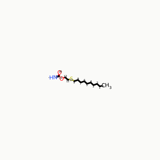 CCCCCCCCCCSCCOC([NH])=O